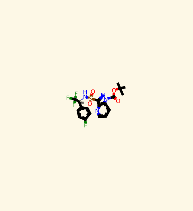 CC(C)(C)OC(=O)n1nc(S(=O)(=O)N[C@H](c2ccc(F)cc2)C(F)(F)F)c2ncccc21